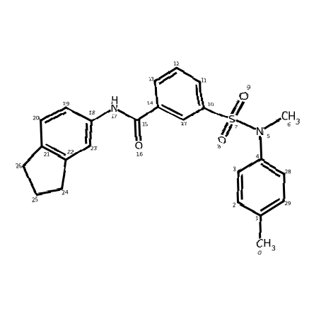 Cc1ccc(N(C)S(=O)(=O)c2cccc(C(=O)Nc3ccc4c(c3)CCC4)c2)cc1